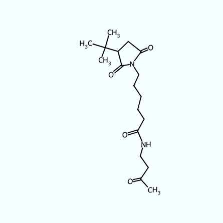 CC(=O)CCNC(=O)CCCCCN1C(=O)CC(C(C)(C)C)C1=O